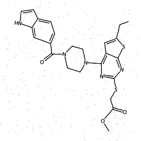 CCc1cc2c(N3CCN(C(=O)c4ccc5cc[nH]c5c4)CC3)nc(SCC(=O)OC)nc2s1